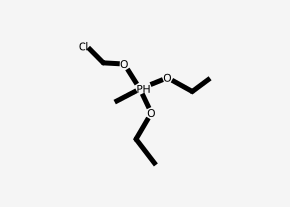 CCO[PH](C)(OCC)OCCl